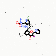 Cc1cc([C@@H](C)Nc2ccc(Cl)nc2-c2noc(=O)[nH]2)c2oc(-c3ccccn3)c(I)c(=O)c2c1